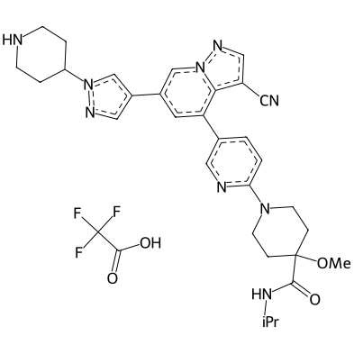 COC1(C(=O)NC(C)C)CCN(c2ccc(-c3cc(-c4cnn(C5CCNCC5)c4)cn4ncc(C#N)c34)cn2)CC1.O=C(O)C(F)(F)F